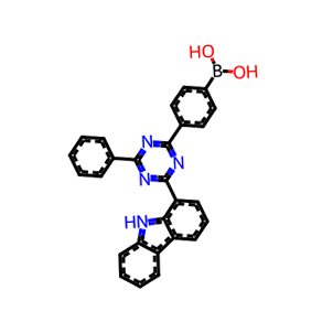 OB(O)c1ccc(-c2nc(-c3ccccc3)nc(-c3cccc4c3[nH]c3ccccc34)n2)cc1